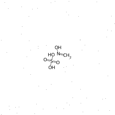 C=NO.O=S(=O)(O)O